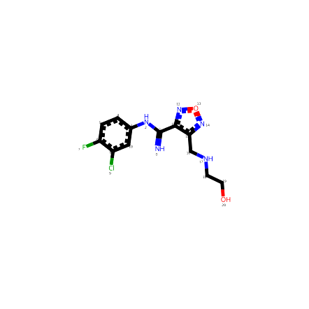 N=C(Nc1ccc(F)c(Cl)c1)c1nonc1CNCCO